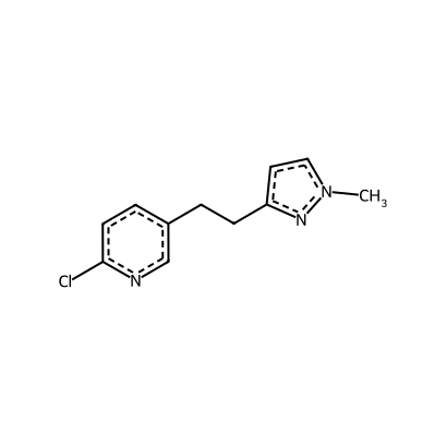 Cn1ccc(CCc2ccc(Cl)nc2)n1